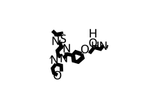 CNCC(O)COc1cccc(-c2nc(-c3nc(C)cs3)cc(N(C)C3CCOCC3)n2)c1